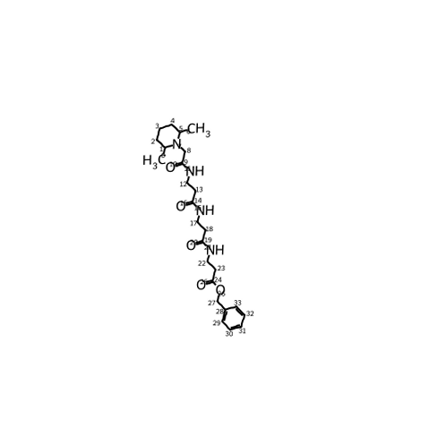 CC1CCCC(C)N1CC(=O)NCCC(=O)NCCC(=O)NCCC(=O)OCc1ccccc1